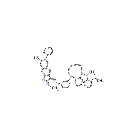 C=Cc1ccccc1C(=C)c1ccccccc(C2=CC(C/C=c3\c(=C/C)oc4cc5cc(S)c(-c6ccccc6)cc5cc34)=CCC2)c2ccccc12